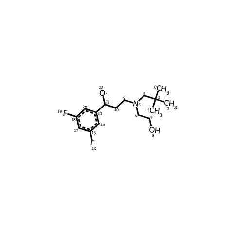 CC(C)(C)CN(CCO)CCC([O])c1cc(F)cc(F)c1